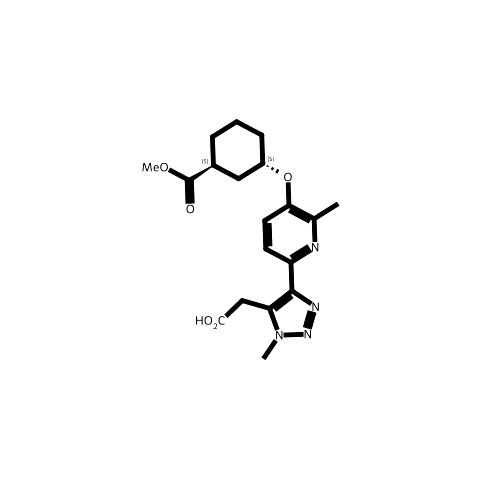 COC(=O)[C@H]1CCC[C@H](Oc2ccc(-c3nnn(C)c3CC(=O)O)nc2C)C1